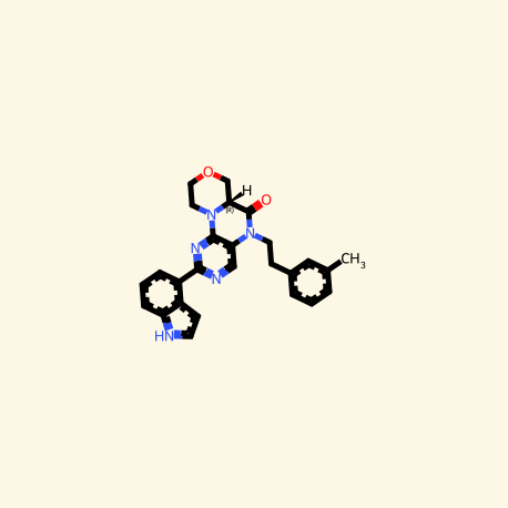 Cc1cccc(CCN2C(=O)[C@H]3COCCN3c3nc(-c4cccc5[nH]ccc45)ncc32)c1